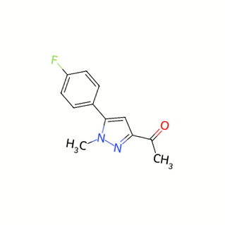 CC(=O)c1cc(-c2ccc(F)cc2)n(C)n1